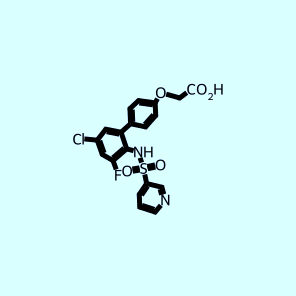 O=C(O)COc1ccc(-c2cc(Cl)cc(F)c2NS(=O)(=O)c2cccnc2)cc1